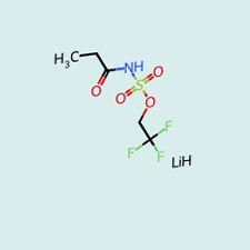 CCC(=O)NS(=O)(=O)OCC(F)(F)F.[LiH]